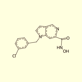 O=C(NO)c1cc2c(ccn2Cc2cccc(Cl)c2)cn1